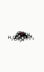 CC(C)(C)CCOC(C)(C)C(C)(P)CC(C)(C)NC(=O)C(C)(C)CC(C)(C)I